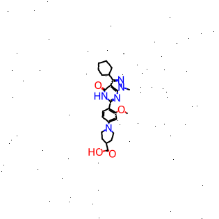 COc1cc(N2CCC(C(=O)O)CC2)ccc1-c1nc2c(c(C3CCCCC3)nn2C)c(=O)[nH]1